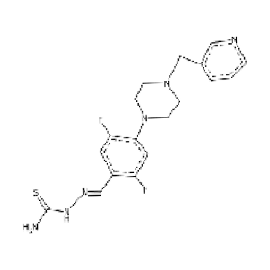 NC(=S)NN=Cc1cc(F)c(N2CCN(Cc3cccnc3)CC2)cc1F